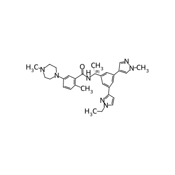 CCn1ccc(-c2cc(-c3cnn(C)c3)cc([C@@H](C)NC(=O)c3cc(N4CCN(C)CC4)ccc3C)c2)n1